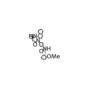 COc1ccccc1CC(=O)Nc1ccc(N2C(=O)CC(=O)Nc3c2ccc2ccccc32)cc1